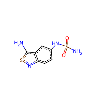 Nc1snc2ccc(NS(N)(=O)=O)cc12